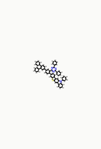 c1ccc(-c2nc(-c3ccccc3)nc(-c3cc(-c4ccc(-c5ccccc5)c(-c5ccccc5)c4)ccc3-c3ccc4c(c3)sc3cc5c6ccccc6n(-c6ccccc6)c5cc34)n2)cc1